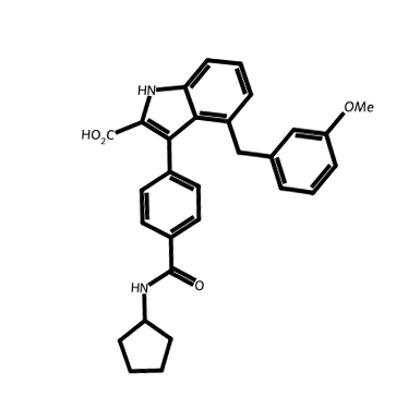 COc1cccc(Cc2cccc3[nH]c(C(=O)O)c(-c4ccc(C(=O)NC5CCCC5)cc4)c23)c1